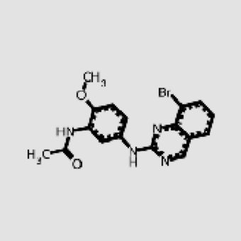 COc1ccc(Nc2ncc3cccc(Br)c3n2)cc1NC(C)=O